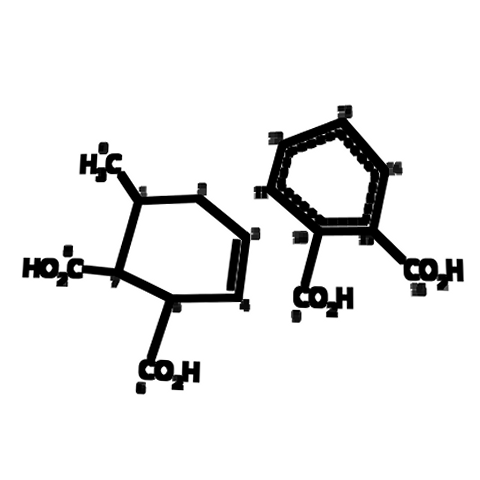 CC1CC=CC(C(=O)O)C1C(=O)O.O=C(O)c1ccccc1C(=O)O